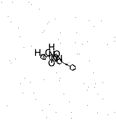 CC1(c2ccccc2)CC(=O)N(c2ccc(C#Cc3ccccc3)cn2)C(=O)N1